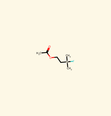 CC(=O)OCC[Si](C)(C)F